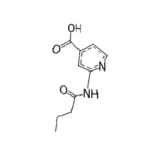 CCCC(=O)Nc1cc(C(=O)O)ccn1